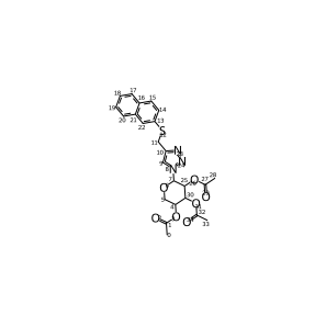 CC(=O)OC1COC(n2cc(CSc3ccc4ccccc4c3)nn2)C(OC(C)=O)C1OC(C)=O